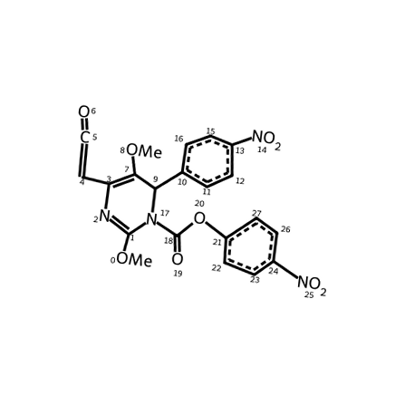 COC1=NC(C=C=O)=C(OC)C(c2ccc([N+](=O)[O-])cc2)N1C(=O)Oc1ccc([N+](=O)[O-])cc1